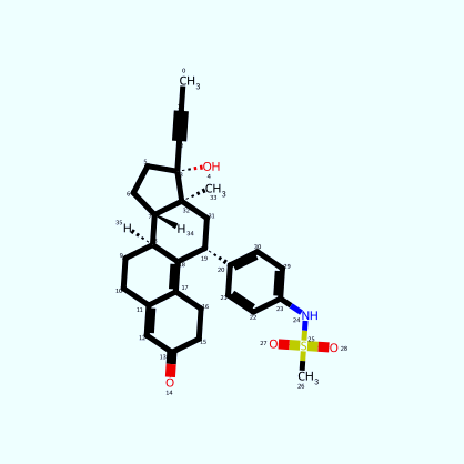 CC#C[C@]1(O)CC[C@H]2[C@@H]3CCC4=CC(=O)CCC4=C3[C@@H](c3ccc(NS(C)(=O)=O)cc3)C[C@@]21C